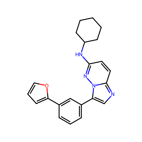 c1cc(-c2ccco2)cc(-c2cnc3ccc(NC4CCCCC4)nn23)c1